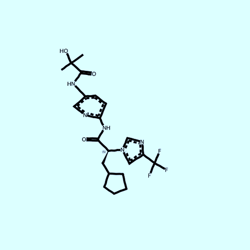 CC(C)(O)C(=O)Nc1ccc(NC(=O)[C@H](CC2CCCC2)n2cnc(C(F)(F)F)c2)nc1